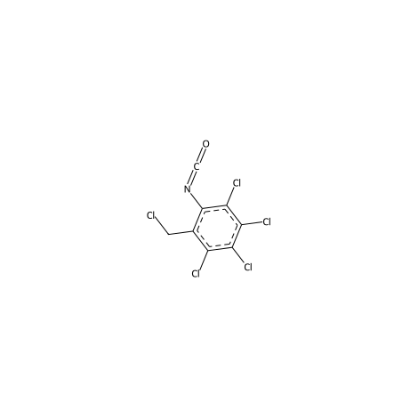 O=C=Nc1c(Cl)c(Cl)c(Cl)c(Cl)c1CCl